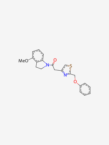 COc1cccc2c1CCN2C(=O)Cc1csc(COc2ccccc2)n1